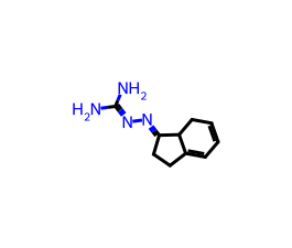 NC(N)=NN=C1CCC2=CC=CCC21